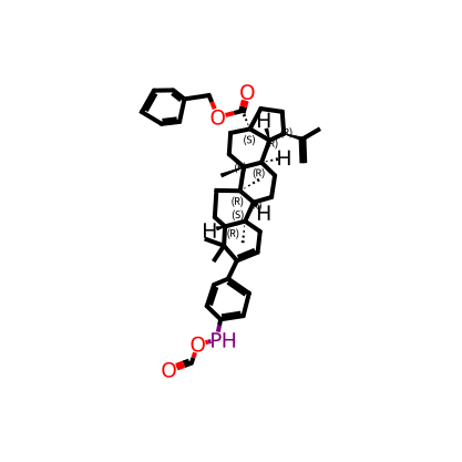 C=C(C)[C@@H]1CC[C@]2(C(=O)OCc3ccccc3)CC[C@]3(C)[C@H](CC[C@@H]4[C@@]5(C)CC=C(c6ccc(POC=O)cc6)C(C)(C)[C@@H]5CC[C@]43C)[C@@H]12